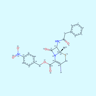 O=C(Cc1ccccc1)NC1C(=O)N2C(C(=O)OCc3ccc([N+](=O)[O-])cc3)=C(I)CS[C@@H]12